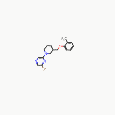 FC(F)(F)c1ccccc1OCC1CCCN(c2cncc(Br)n2)C1